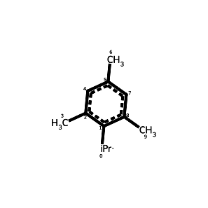 C[C](C)c1c(C)cc(C)cc1C